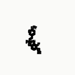 CCCC1CC=C(CCC(F)(F)Oc2ccc(OCC)c(F)c2F)CO1